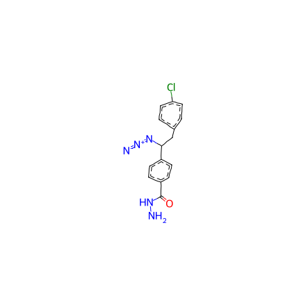 [N-]=[N+]=NC(Cc1ccc(Cl)cc1)c1ccc(C(=O)NN)cc1